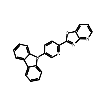 c1cnc2nc(-c3ccc(-n4c5ccccc5c5ccccc54)cn3)oc2c1